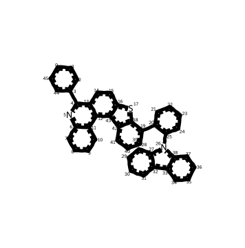 c1ccc(-c2nc3ccccc3c3c2ccc2sc4c(-c5ccccc5-n5c6ccccc6c6ccccc65)cccc4c23)cc1